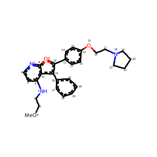 COCCNc1ccnc2oc(-c3ccc(OCCN4CCCC4)cc3)c(-c3ccccc3)c12